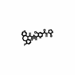 O=C(NNc1ncc(C(=O)N[C@@H]2CCSC2=O)cc1Cl)NC1c2cnccc2CCc2c(F)cccc21